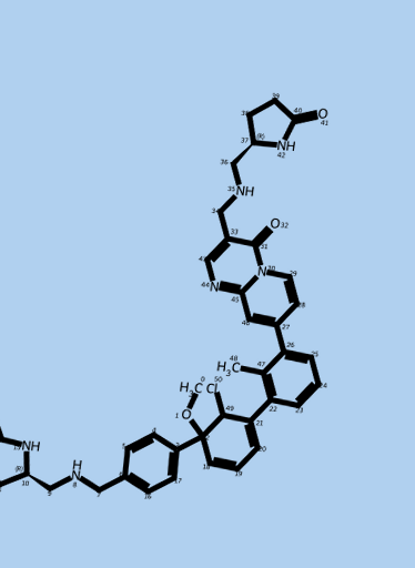 COC1(c2ccc(CNC[C@H]3CCC(=O)N3)cc2)C=CC=C(c2cccc(-c3ccn4c(=O)c(CNC[C@H]5CCC(=O)N5)cnc4c3)c2C)C1Cl